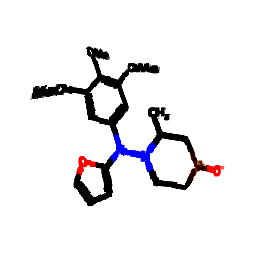 COc1cc(N(c2ccco2)N2CC[S+]([O-])CC2C)cc(OC)c1OC